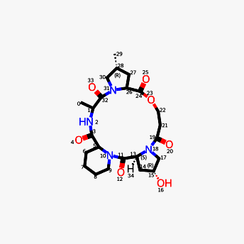 CC1NC(=O)C2CCCCN2C(=O)[C@@H]2C[C@@H](O)CN2C(=O)CCOC(=O)C2C[C@@H](C)CN2C1=O